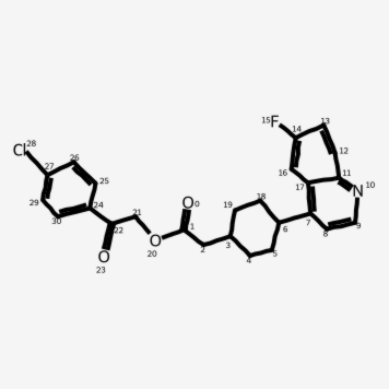 O=C(CC1CCC(c2ccnc3ccc(F)cc23)CC1)OCC(=O)c1ccc(Cl)cc1